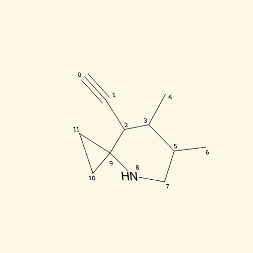 C#CC1C(C)C(C)CNC12CC2